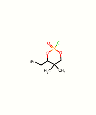 CC(C)CC1OP(=O)(Cl)OCC1(C)C